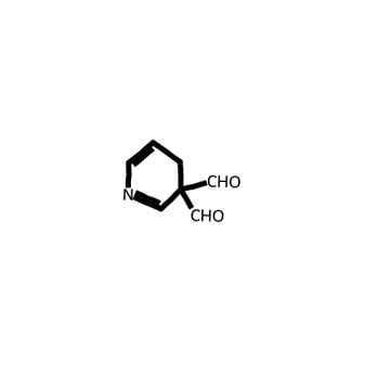 O=CC1(C=O)C=NC=CC1